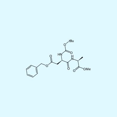 COC(=O)[C@H](C)NC(=O)[C@@H](CC(=O)OCc1ccccc1)NC(=O)OC(C)(C)C